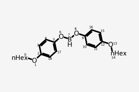 CCCCCCOc1ccc(OBOc2ccc(OCCCCCC)cc2)cc1